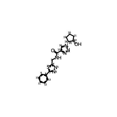 O=C(NCc1nnc(-c2ccccc2)s1)c1cn([C@@H]2CCC[C@H]2O)nn1